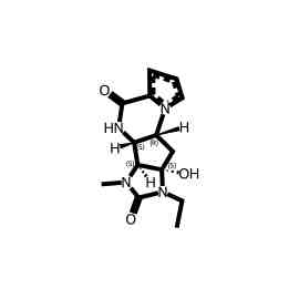 CCN1C(=O)N(C)[C@H]2[C@@H]3NC(=O)c4cccn4[C@@H]3C[C@]21O